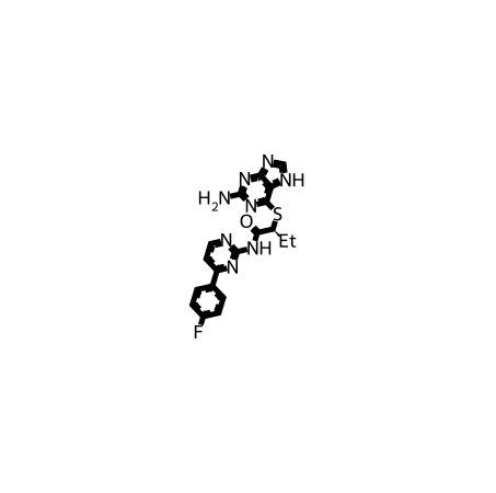 CC[C@@H](Sc1nc(N)nc2nc[nH]c12)C(=O)Nc1nccc(-c2ccc(F)cc2)n1